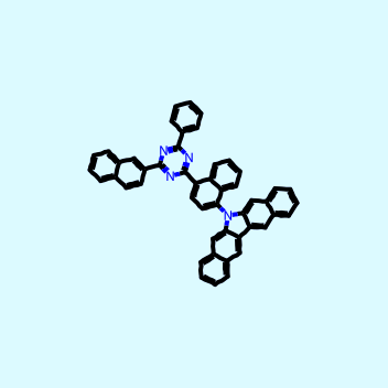 c1ccc(-c2nc(-c3ccc4ccccc4c3)nc(-c3ccc(-n4c5cc6ccccc6cc5c5cc6ccccc6cc54)c4ccccc34)n2)cc1